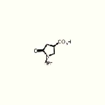 CCCN1CC(C(=O)O)CC1=O